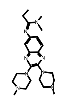 CC/C(=N/c1ccc2nc(N3CCN(C)CC3)c(N3CCN(C)CC3)nc2c1)N(C)C